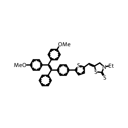 CCN1CC(=Cc2ccc(-c3ccc(C(=C(c4ccc(OC)cc4)c4ccc(OC)cc4)c4ccccc4)cc3)s2)SC1=S